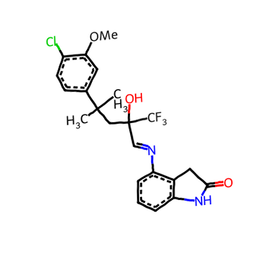 COc1cc(C(C)(C)CC(O)(C=Nc2cccc3c2CC(=O)N3)C(F)(F)F)ccc1Cl